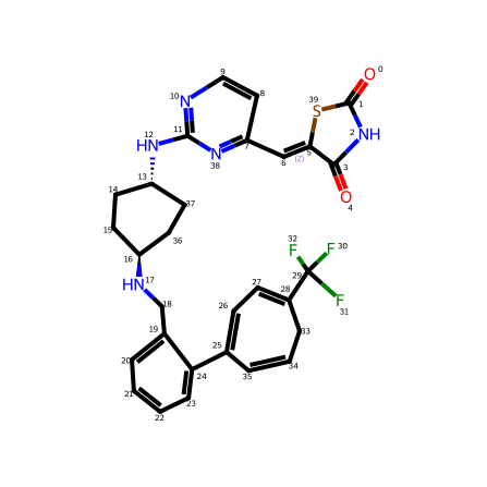 O=C1NC(=O)/C(=C/c2ccnc(N[C@H]3CC[C@H](NCc4ccccc4C4=CC=C(C(F)(F)F)CC=C4)CC3)n2)S1